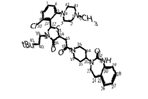 CN1CCN(c2cccc(Cl)c2C2SC(CC(=O)N3CCC(N4CCc5ccccc5NC4=O)CC3)C(=O)N2CCC(C)(C)C)CC1